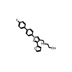 OCCNCc1cn(-c2ccc(-c3ccc(F)cc3)cc2)nc1-c1ccco1